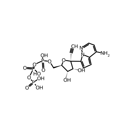 C#C[C@@]1(c2ccc3c(N)ccnn23)O[C@H](COP(=O)(O)OP(=O)(O)OP(=O)(O)O)[C@@H](O)[C@H]1O